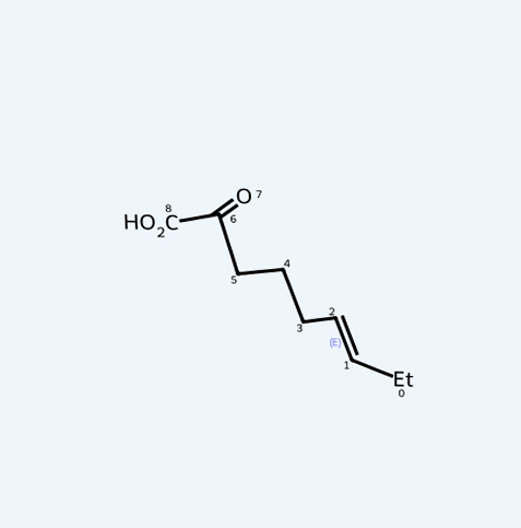 CC/C=C/CCCC(=O)C(=O)O